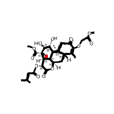 COC(=O)COC1=C(C)[C@@H]2C[C@H]3OC(=O)[C@H](OC(=O)C=C(C)C)[C@H]4[C@]5(C(=O)OC)OC[C@]34C([C@@H](O)[C@@H]5O)[C@@]2(C)CC1=O